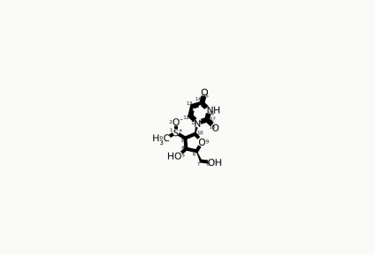 C[S+]([O-])C1C(O)[C@H](CO)O[C@@H]1n1ccc(=O)[nH]c1=O